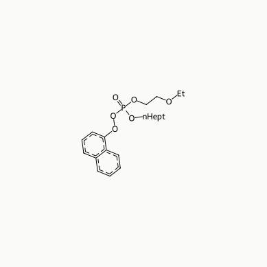 CCCCCCCOP(=O)(OCCOCC)OOc1cccc2ccccc12